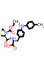 CCOC(=O)N1CSC[C@@H]1C(=O)N[C@@H](Cc1ccc(Nc2ccc(C)cc2)cc1)C(=O)O